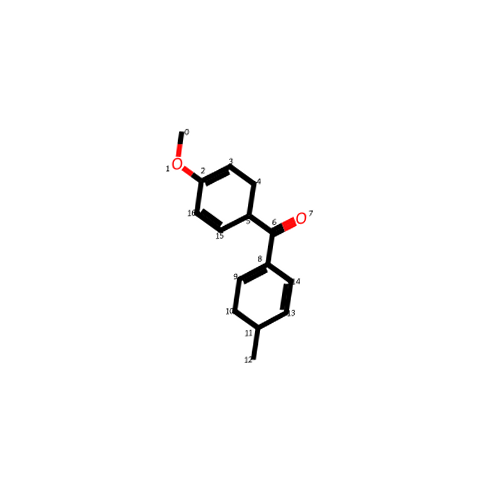 COC1=CCC(C(=O)C2=CCC(C)C=C2)C=C1